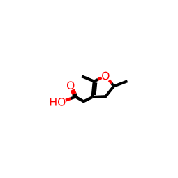 CC1=C(CC(=O)O)CC(C)O1